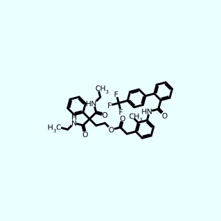 CCNC(=O)C(CCOC(=O)Cc1cccc(NC(=O)c2ccccc2-c2ccc(C(F)(F)F)cc2)c1C)(C(=O)NCC)c1ccccc1